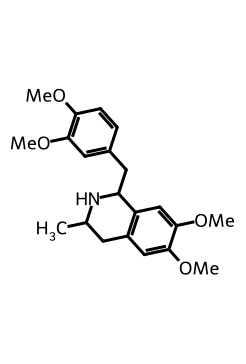 COc1ccc(CC2NC(C)Cc3cc(OC)c(OC)cc32)cc1OC